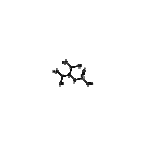 CO[PH](=O)ON(C(C)O)C(C)O